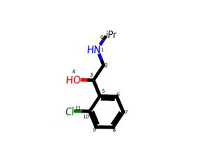 CC(C)NCC(O)c1ccccc1Cl